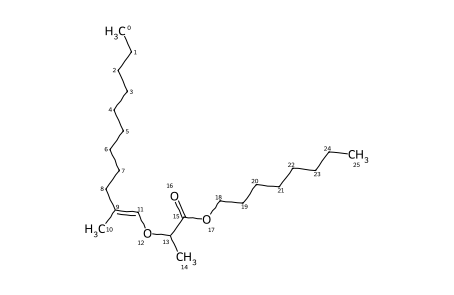 CCCCCCCCCC(C)=COC(C)C(=O)OCCCCCCCC